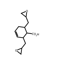 O=C(O)C1C(CC2CO2)C=CCC1CC1CO1